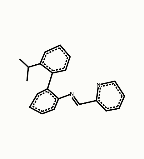 CC(C)c1ccccc1-c1ccccc1/N=C/c1ccccn1